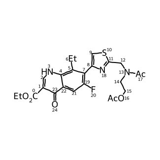 CCOC(=O)c1c[nH]c2c(CC)c(-c3csc(CN(CCOC(C)=O)C(C)=O)n3)c(F)cc2c1=O